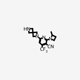 CC1CCN1c1nc(N2CC3(CNC3)C2)cc(C(F)(F)F)c1C#N